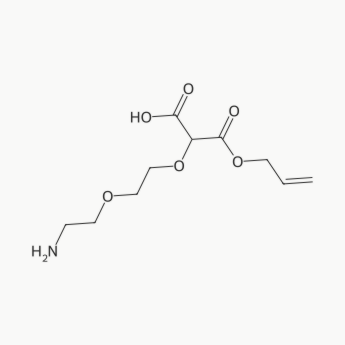 C=CCOC(=O)C(OCCOCCN)C(=O)O